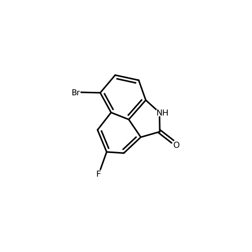 O=C1Nc2ccc(Br)c3cc(F)cc1c23